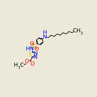 CCCCCCCCCCNc1ccc(S(=O)(=O)Nc2nnc(C(=O)OCC)s2)cc1